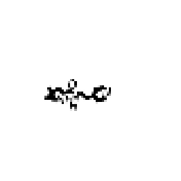 CC12CC(C(=O)NCCc3ccncc3)NC1C2